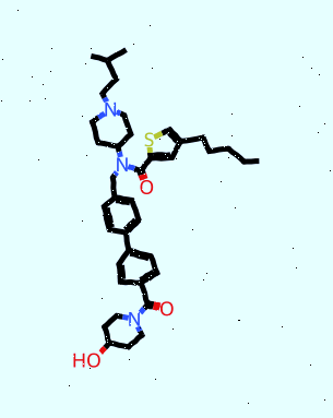 CCCCCc1csc(C(=O)N(Cc2ccc(-c3ccc(C(=O)N4CCC(O)CC4)cc3)cc2)C2CCN(CCC(C)C)CC2)c1